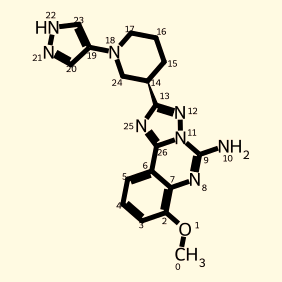 COc1cccc2c1nc(N)n1nc([C@@H]3CCCN(c4cn[nH]c4)C3)nc21